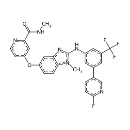 CNC(=O)c1cc(Oc2ccc3c(c2)nc(Nc2cc(-c4ccc(F)nc4)cc(C(F)(F)F)c2)n3C)ccn1